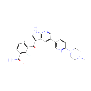 CN1CCN(c2ccc(-c3cnc4[nH]cc(C(=O)c5c(F)ccc(C(N)=O)c5F)c4c3)cn2)CC1